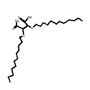 CCCCCCCCCCCCOC(C(=O)O)C(OCCCCCCCCCCCC)C(=O)O